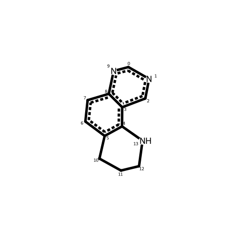 c1ncc2c3c(ccc2n1)CCCN3